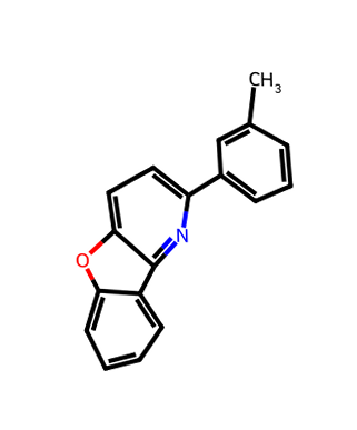 Cc1cccc(-c2ccc3oc4ccccc4c3n2)c1